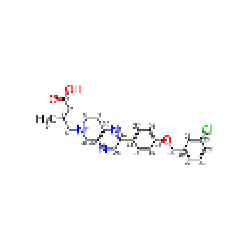 CC(CC(=O)O)CN1CCc2nc(-c3ccc(OCc4cccc(Cl)c4)cc3)cnc2C1